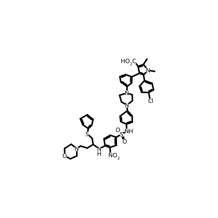 Cc1c(C(=O)O)c(-c2cccc(N3CCN(c4ccc(NS(=O)(=O)c5ccc(NC(CCN6CCOCC6)CSc6ccccc6)c([N+](=O)[O-])c5)cc4)CC3)c2)c(-c2ccc(Cl)cc2)n1C